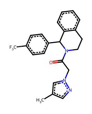 Cc1cnn(CC(=O)N2CCc3ccccc3C2c2ccc(C(F)(F)F)cc2)c1